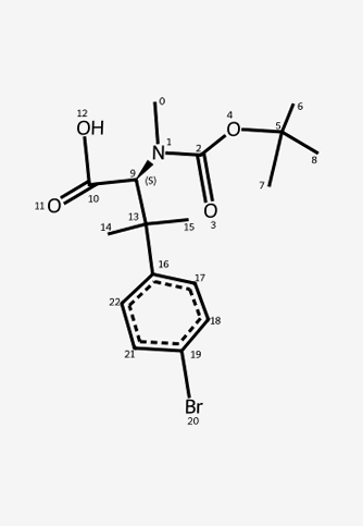 CN(C(=O)OC(C)(C)C)[C@H](C(=O)O)C(C)(C)c1ccc(Br)cc1